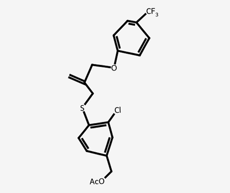 C=C(COc1ccc(C(F)(F)F)cc1)CSc1ccc(COC(C)=O)cc1Cl